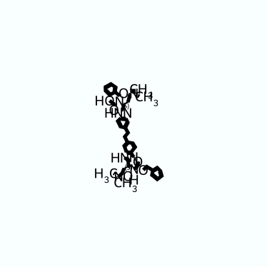 CN(C)C(=O)C[C@H](NC(=O)OCc1ccccc1)c1nc2ccc(CCc3ccc4[nH]c([C@H](CC(=O)N(C)C)N(Cc5ccccc5)C(=O)O)nc4c3)cc2[nH]1